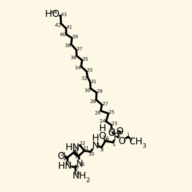 CCOP(=O)(C[C@H](O)CNCC1CNc2c1nc(N)[nH]c2=O)OCCCCCCCCCCCCCCCCCCCCCO